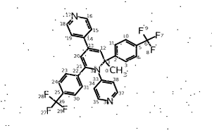 CC1(c2ccc(C(F)(F)F)cc2)C=C(c2ccncc2)C=C(c2ccc(C(F)(F)F)cc2)N1c1ccncc1